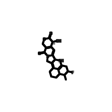 CC1C(F)CC2=C3C(=C4Cn5c(cc6c(c5=O)COC(=O)[C@H]6O)C4N2)CCCC31